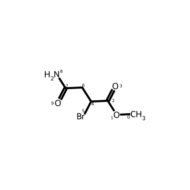 COC(=O)C(Br)CC(N)=O